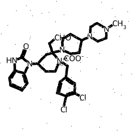 CN1CCN(C2CCN(C3(CC=O)CC(n4c(=O)[nH]c5ccccc54)CC[N@+]3(Cc3ccc(Cl)c(Cl)c3)C(=O)[O-])CC2)CC1